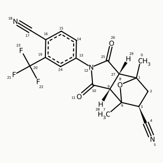 CC12C[C@@H](C#N)C(C)(O1)[C@@H]1C(=O)N(c3ccc(C#N)c(C(F)(F)F)c3)C(=O)[C@@H]12